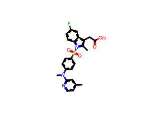 Cc1ccnc(N(C)c2ccc(S(=O)(=O)n3c(C)c(CC(=O)O)c4cc(F)ccc43)cc2)c1